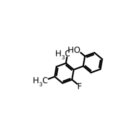 Cc1cc(C)c(-c2ccccc2O)c(F)c1